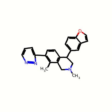 Cc1c(-c2cccnn2)ccc2c1CN(C)CC2c1ccc2occc2c1